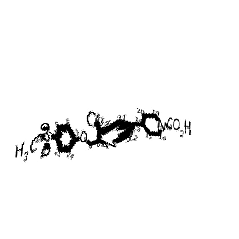 CS(=O)(=O)c1ccc(OCc2ncc(C3CCN(C(=O)O)CC3)cc2Cl)cc1